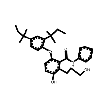 CCC(C)(C)c1ccc(Oc2ccc(O)c(CCCO)c2C(=O)Nc2ccccc2)c(C(C)(C)CC)c1